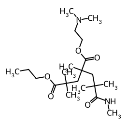 CCCOC(=O)C(C)(C)CC(C)(CC(C)(C)C(=O)NC)C(=O)OCCN(C)C